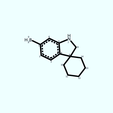 Bc1ccc2c(c1)NCC21CCCCC1